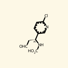 O=CC[C@@H](NC(=O)O)c1ccc(Cl)nc1